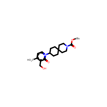 CC(C)(C)OC(=O)N1CCC2(CCC(n3ccc(C(=O)O)c(CO)c3=O)CC2)CC1